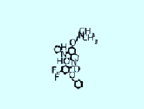 CN(C)CCOc1cc2c(c(NC3CCCC3)c1)CN(C(=O)c1c(O)cc(C(F)F)cc1OCc1ccccc1)CC2